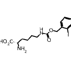 N[C@@H](CCCCNC(=O)OCc1ccccc1I)C(=O)O